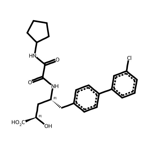 O=C(NC1CCCC1)C(=O)N[C@H](Cc1ccc(-c2cccc(Cl)c2)cc1)C[C@@H](O)C(=O)O